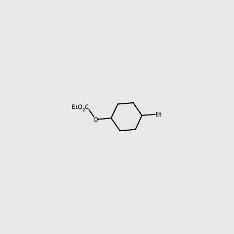 C[CH]OC(=O)OC1CCC(CC)CC1